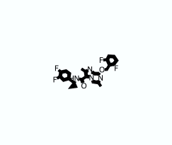 Cc1cn2c(C(=O)NC3(c4ccc(F)c(F)c4)CC3)c(C)nc2c(OCc2c(F)cccc2F)n1